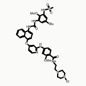 CCN1CCN(CCNC(=O)c2ccc(Nc3cc(Oc4ccc(NC(=O)Nc5cc(C(C)(C)C)cc(NS(C)(=O)=O)c5OC)c5ccccc45)ccn3)cc2OC)CC1